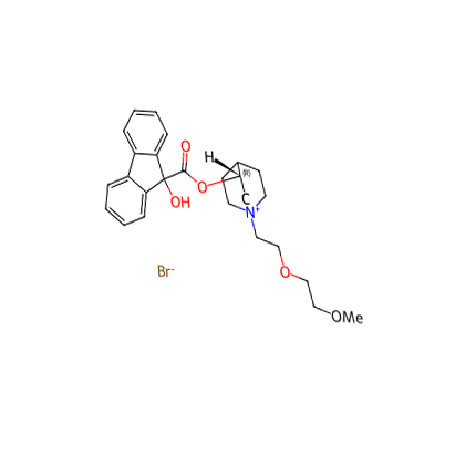 COCCOCC[N+]12CCC(CC1)[C@@H](OC(=O)C1(O)c3ccccc3-c3ccccc31)C2.[Br-]